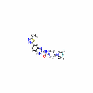 Cc1nnc(-c2ccc3cnc(NC(=O)N4CCC(N(C)CC(F)F)CC4)nc3c2)s1